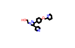 OCCn1cc(-c2ccncc2)c(-c2ccc(OCc3ccccn3)cc2)n1